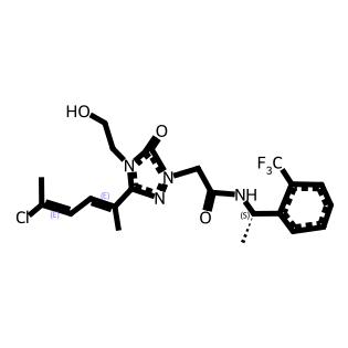 C/C(Cl)=C\C=C(/C)c1nn(CC(=O)N[C@@H](C)c2ccccc2C(F)(F)F)c(=O)n1CCO